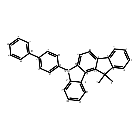 CC1(C)c2ccccc2-c2ccc3c(c21)c1ccccc1n3-c1ccc(-c2ccccc2)cc1